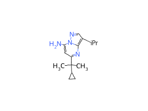 CC(C)c1cnn2c(N)cc(C(C)(C)C3CC3)nc12